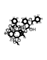 CC(=O)O[C@H]1C(=O)[C@]2(C)C([C@H](OC(=O)c3ccccc3)[C@]3(O)C[C@H](O[C@H](O)[C@H](O)[C@@H](CC(=O)c4ccccc4)c4ccccc4)C(C)=C1C3(C)C)[C@]1(OC(C)=O)CO[C@@H]1C[C@@H]2C